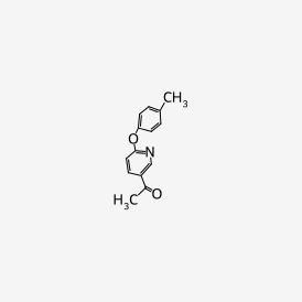 CC(=O)c1ccc(Oc2ccc(C)cc2)nc1